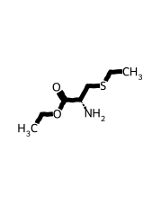 CCOC(=O)[C@@H](N)CSCC